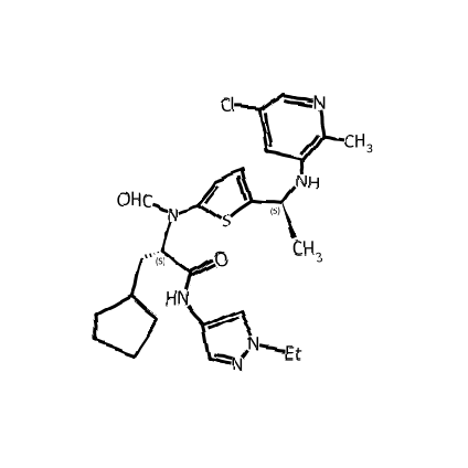 CCn1cc(NC(=O)[C@H](CC2CCCC2)N(C=O)c2ccc([C@H](C)Nc3cc(Cl)cnc3C)s2)cn1